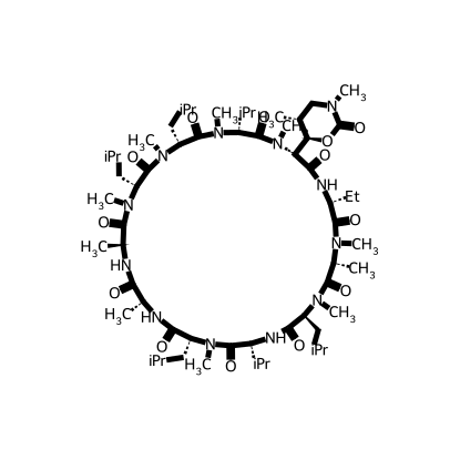 CC[C@H]1NC(=O)[C@@H]([C@@H]2OC(=O)N(C)C[C@H]2C)N(C)C(=O)[C@@H](C(C)C)N(C)C(=O)[C@@H](CC(C)C)N(C)C(=O)[C@@H](CC(C)C)N(C)C(=O)[C@H](C)NC(=O)[C@@H](C)NC(=O)[C@@H](CC(C)C)N(C)C(=O)[C@@H](C(C)C)NC(=O)[C@H](CC(C)C)N(C)C(=O)[C@@H](C)N(C)C1=O